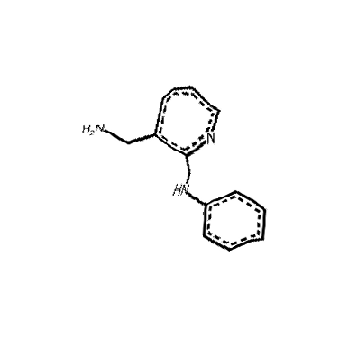 NCc1cccnc1Nc1ccccc1